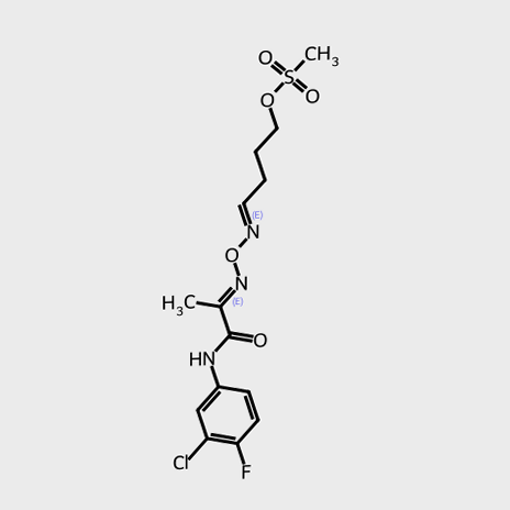 C/C(=N\O/N=C/CCCOS(C)(=O)=O)C(=O)Nc1ccc(F)c(Cl)c1